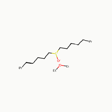 CC(C)CCCCC[S+]([O-])CCCCCC(C)C.CCOCC